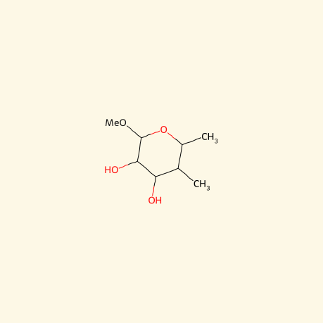 COC1OC(C)C(C)C(O)C1O